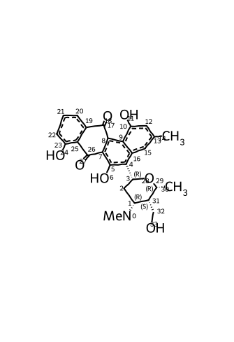 CN[C@@H]1C[C@H](c2c(O)c3c(c4c(O)cc(C)cc24)C(=O)c2cccc(O)c2C3=O)O[C@H](C)[C@@H]1CO